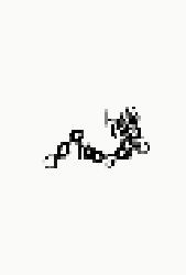 O=C1CCC(N2Cc3cc(SC4CC5CN(Cc6ccccc6-c6ccc(Cl)cc6)CC5C4)ccc3C2=O)C(=O)N1